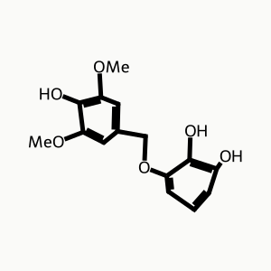 COc1cc(COc2cccc(O)c2O)cc(OC)c1O